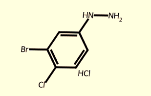 Cl.NNc1ccc(Cl)c(Br)c1